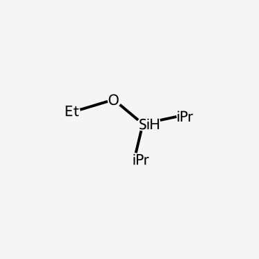 CCO[SiH](C(C)C)C(C)C